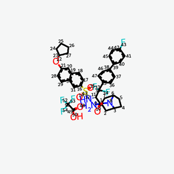 NC1CC2CCC(C1)N2C(=O)[C@H](NS(=O)(=O)c1ccc2cc(OC3CCCC3)ccc2c1)C(F)(F)c1ccc(-c2ccc(F)cc2)cc1.O=C(O)C(F)(F)F